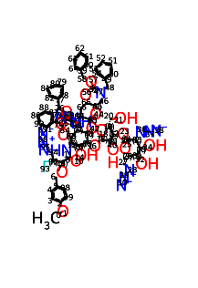 COc1ccc(CO[C@H](C(=O)N[C@H]2[C@H](O)[C@@H](O[C@@H]3O[C@H](CO)[C@@H](O[C@H]4O[C@@H](CN=[N+]=[N-])[C@@H](O)[C@H](O)[C@H]4N=[N+]=[N-])[C@H]3O)[C@H](O[C@H]3O[C@H](CN(Cc4ccccc4)C(=O)OCc4ccccc4)CC[C@H]3N=[N+]=[N-])[C@@H](NC(=O)OCc3ccccc3)[C@@H]2OCc2ccccc2)[C@H](F)CN=[N+]=[N-])cc1